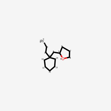 CC(C)CCC1(CC2CCCO2)CCCCC1